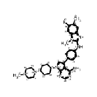 Cc1cc2nc(Nc3ccc(-c4cn([C@H]5CC[C@@H](N6CCN(C)CC6)CC5)c5ncnc(N)c45)cc3)n(C)c2cc1F